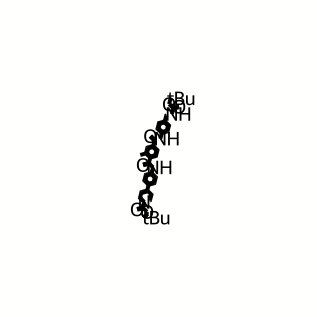 Cc1cc(C(=O)Nc2ccc(CNC(=O)OC(C)(C)C)cc2)ccc1C(=O)Nc1ccc(C2=CCN(C(=O)OC(C)(C)C)CC2)cc1